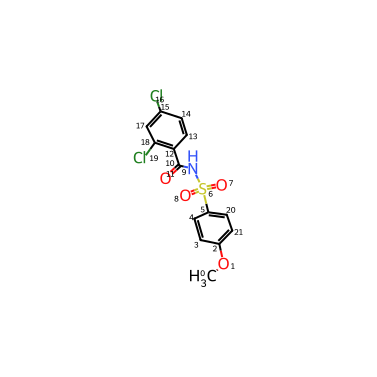 COc1ccc(S(=O)(=O)NC(=O)c2ccc(Cl)cc2Cl)cc1